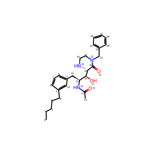 CCCCCc1cccc(C[C@H](NC(C)=O)[C@H](O)[C@@H]2NCCN(Cc3ccccc3)C2=O)c1